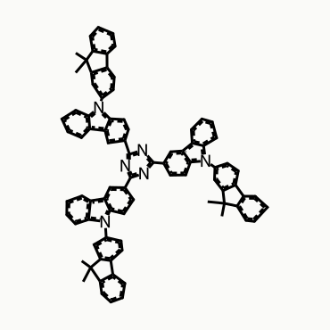 CC1(C)c2ccccc2-c2ccc(-n3c4ccccc4c4cc(-c5nc(-c6ccc7c(c6)c6ccccc6n7-c6ccc7c(c6)C(C)(C)c6ccccc6-7)nc(-c6ccc7c(c6)c6ccccc6n7-c6ccc7c(c6)C(C)(C)c6ccccc6-7)n5)ccc43)cc21